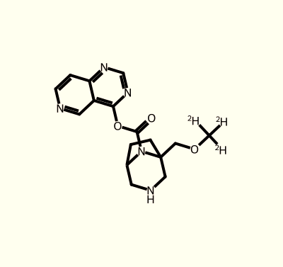 [2H]C([2H])([2H])OCC12CCC(CNC1)N2C(=O)Oc1ncnc2ccncc12